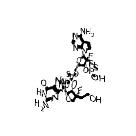 Nc1nc2c(nnn2[C@@H]2OC[C@](F)(CCO)[C@H]2OP(O)(=S)OC[C@H]2O[C@@H](n3ccc4c(N)ncnc43)C(F)(F)[C@@H]2O[PH](O)=S)c(=O)[nH]1